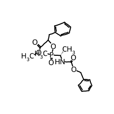 COC(=O)C(Cc1ccccc1)OP(C)(=O)[C@H](C)NC(=O)OCc1ccccc1